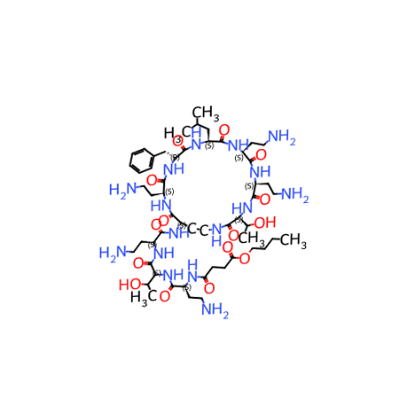 CCCCOC(=O)CCC(=O)N[C@@H](CCN)C(=O)N[C@H](C(=O)N[C@@H](CCN)C(=O)N[C@H]1CCNC(=O)[C@H](C(C)O)NC(=O)[C@H](CCN)NC(=O)[C@H](CCN)NC(=O)[C@H](CC(C)C)NC(=O)[C@@H](Cc2ccccc2)NC(=O)[C@H](CCN)NC1=O)C(C)O